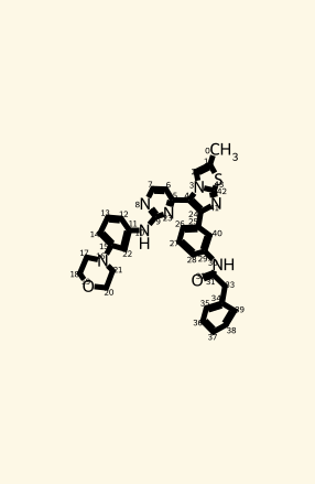 Cc1cn2c(-c3ccnc(Nc4cccc(N5CCOCC5)c4)n3)c(-c3cccc(NC(=O)Cc4ccccc4)c3)nc2s1